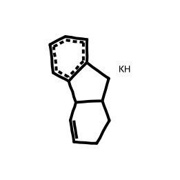 C1=CC2c3ccccc3CC2CC1.[KH]